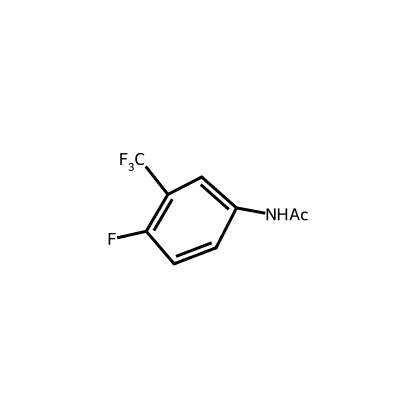 CC(=O)Nc1ccc(F)c(C(F)(F)F)c1